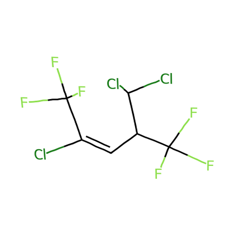 FC(F)(F)/C(Cl)=C\C(C(Cl)Cl)C(F)(F)F